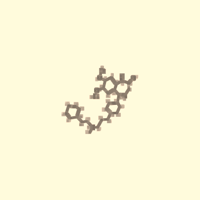 CCOC1C=C2NC(=O)CN=C(C3=CC=C(CCCN(C)CCc4ccccc4)CC3)C2=CC1OCC